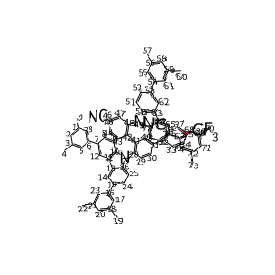 Cc1cc(C)cc(-c2ccc3c(c2)c2cc(-c4cc(C)cc(C)c4)ccc2n3-c2ccc(-c3ccc(C(F)(F)F)cc3C#N)cc2-c2ccc(C#N)cc2-n2c3ccc(-c4cc(C)cc(C)c4)cc3c3cc(-c4cc(C)cc(C)c4)ccc32)c1